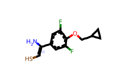 N/C(=C\S)c1cc(F)c(OCC2CC2)c(F)c1